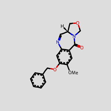 COc1cc2c(cc1OCc1ccccc1)N=C[C@@H]1COCN1C2=O